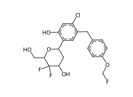 OCC1OC(c2cc(Cc3ccc(OCF)cc3)c(Cl)cc2O)CC(O)C1(F)F